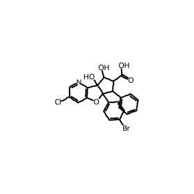 O=C(O)C1C(O)C2(O)c3ncc(Cl)cc3OC2(c2ccc(Br)cc2)C1c1ccccc1